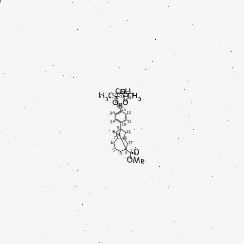 COC(=O)C12CCCC3CC(c4ccc(B5OC(C)(C)C(C)(C)O5)cc4)(CC3C1)C2